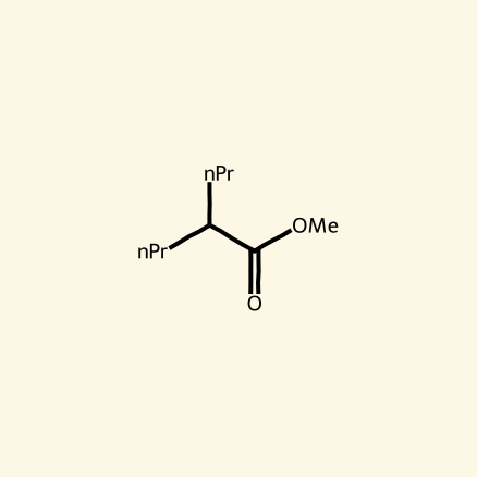 [CH2]OC(=O)C(CCC)CCC